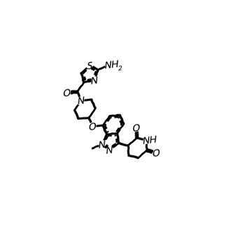 Cn1nc(C2CCC(=O)NC2=O)c2cccc(OC3CCN(C(=O)c4csc(N)n4)CC3)c21